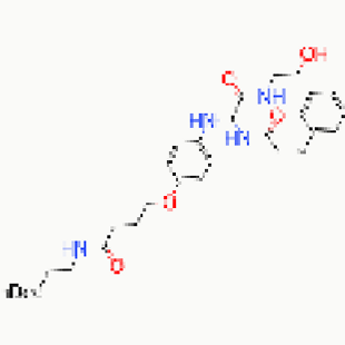 CCCCCCCCCCCCNC(=O)CCCOc1ccc(NC(NC(=O)/C=C\c2ccccc2)C(=O)NCCO)cc1